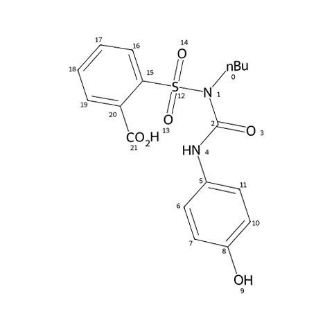 CCCCN(C(=O)Nc1ccc(O)cc1)S(=O)(=O)c1ccccc1C(=O)O